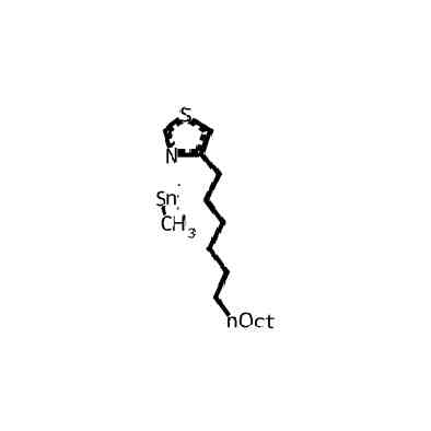 CCCCCCCCCCCCCCc1cscn1.[CH3][Sn]